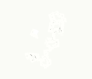 Cl.N[C@H]1CCC[C@@H]1OCc1ccc(-c2nc3ccccc3o2)cc1